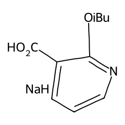 CC(C)COc1ncccc1C(=O)O.[NaH]